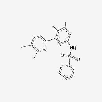 Cc1ccc(-c2nc(NS(=O)(=O)c3ccccc3)cc(C)c2C)cc1C